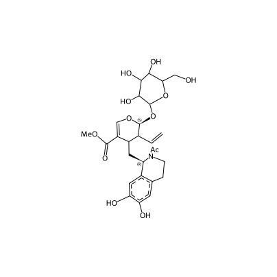 C=CC1C(C[C@@H]2c3cc(O)c(O)cc3CCN2C(C)=O)C(C(=O)OC)=CO[C@H]1OC1OC(CO)C(O)C(O)C1O